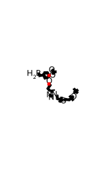 BCc1ccc(OC(C)=O)c(OCCCc2cn(CCC(C)(C)OCCC(C)(C)OCC(C)(C)C)nn2)c1